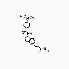 CN(C)c1ccc(C(=O)NC2CCc3cc(/C=C/C(N)=O)ccc32)cc1